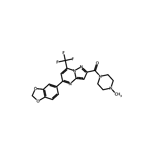 CN1CCN(C(=O)c2cc3nc(-c4ccc5c(c4)OCO5)cc(C(F)(F)F)n3n2)CC1